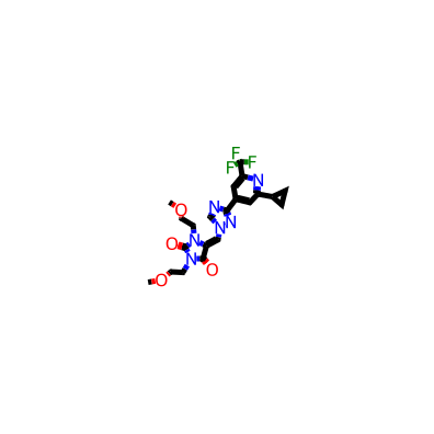 COCCN1C(=O)/C(=C/n2cnc(-c3cc(C4CC4)nc(C(F)(F)F)c3)n2)N(CCOC)C1=O